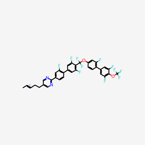 C/C=C/CCc1cnc(-c2ccc(-c3cc(F)c(C(F)(F)Oc4ccc(-c5cc(F)c(OC(F)(F)F)c(F)c5)c(F)c4)c(F)c3)c(F)c2)nc1